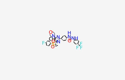 C[C@H]1COCCN1c1cc(C2(S(=O)(=O)c3ccc(F)cc3)CC2)nc(-c2ccc(NC(=O)Nc3ccc(C(F)(F)F)cc3)cc2)n1